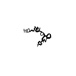 OCCCn1cc(COCc2cc(-c3ccc(F)cc3)nc3ccccc23)nn1